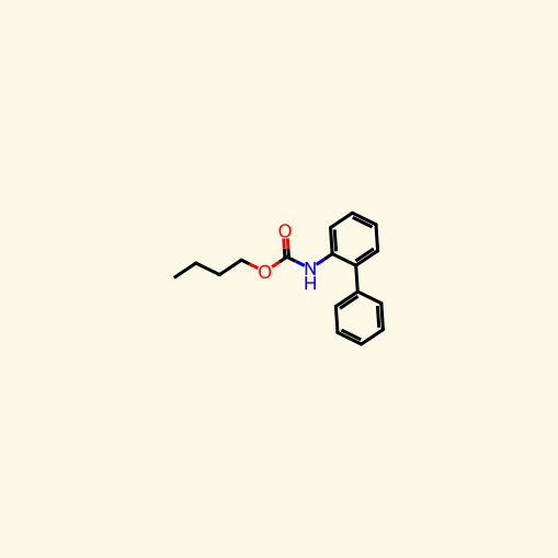 CCCCOC(=O)Nc1ccccc1-c1ccccc1